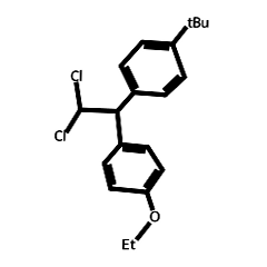 CCOc1ccc(C(c2ccc(C(C)(C)C)cc2)C(Cl)Cl)cc1